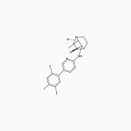 Cc1cc(F)c(-c2ccc(N[C@H]3C4CCN(CC4)[C@@H]3C)nc2)cc1F